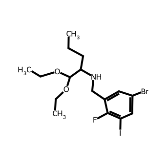 CCCC(NCc1cc(Br)cc(I)c1F)C(OCC)OCC